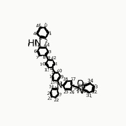 c1ccc(Nc2ccc(-c3ccc(-c4ccc(N(c5ccccc5)c5ccc(-c6nc7ccccc7o6)cc5)cc4)cc3)cc2)cc1